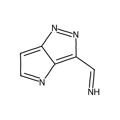 N=CC1=C2N=CC=C2N=N1